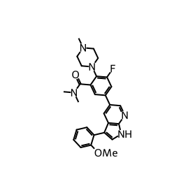 COc1ccccc1-c1c[nH]c2ncc(-c3cc(F)c(N4CCN(C)CC4)c(C(=O)N(C)C)c3)cc12